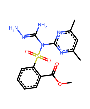 COC(=O)c1ccccc1S(=O)(=O)N(C(N)=NN)c1nc(C)cc(C)n1